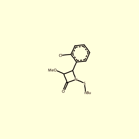 CCCCSN1C(=O)C(OC)C1c1ccccc1Cl